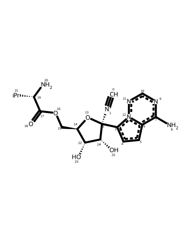 C#[N+][C@@]1(c2ccc3c(N)ncnn23)O[C@H](COC(=O)[C@@H](N)C(C)C)[C@@H](O)[C@H]1O